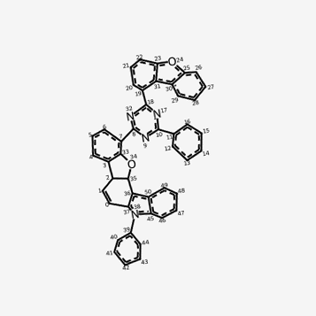 C1=CC2c3cccc(-c4nc(-c5ccccc5)nc(-c5cccc6oc7ccccc7c56)n4)c3OC2c2c1n(-c1ccccc1)c1ccccc21